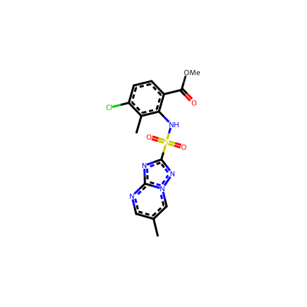 COC(=O)c1ccc(Cl)c(C)c1NS(=O)(=O)c1nc2ncc(C)cn2n1